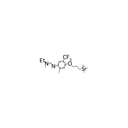 CCN(C)/C=N/c1cc(C(F)(F)F)c(OCCC[Si](C)(C)C)cc1C